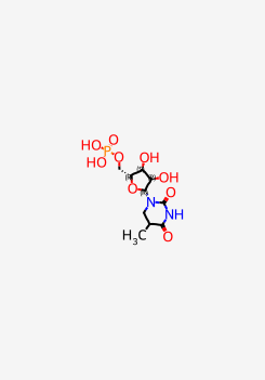 CC1CN([C@@H]2O[C@H](COP(=O)(O)O)[C@@H](O)[C@H]2O)C(=O)NC1=O